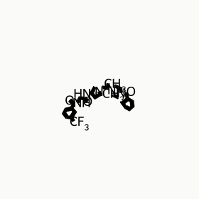 CC(C)(CN1CC[C@@H](NC(=O)CNC(=O)c2cccc(C(F)(F)F)c2)C1)N1CCN(C(=O)c2ccccc2)CC1